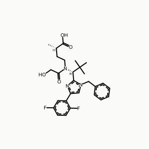 C[C@@H](CCN(C(=O)CO)[C@@H](c1nc(-c2cc(F)ccc2F)cn1Cc1ccccc1)C(C)(C)C)C(=O)O